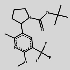 COc1nc(C)c(C2CCCN2C(=O)OC(C)(C)C)cc1C(F)(F)F